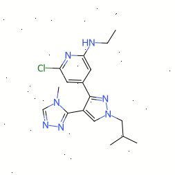 CCNc1cc(-c2nn(CC(C)C)cc2-c2nncn2C)cc(Cl)n1